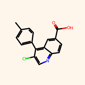 Cc1ccc(-c2c(Cl)cnc3ccc(C(=O)O)cc23)cc1